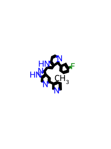 Cc1ccncc1-c1cc2c(-c3cc4c(-c5cccc(F)c5)nccc4[nH]3)n[nH]c2cn1